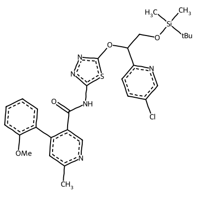 COc1ccccc1-c1cc(C)ncc1C(=O)Nc1nnc(OC(CO[Si](C)(C)C(C)(C)C)c2ccc(Cl)cn2)s1